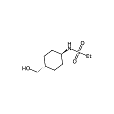 CCS(=O)(=O)N[C@H]1CC[C@H](CO)CC1